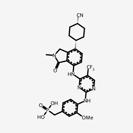 COc1cc(CP(=O)(O)O)ccc1Nc1ncc(C(F)(F)F)c(Nc2ccc([C@H]3CC[C@@H](C#N)CC3)c3c2C(=O)N(C)C3)n1